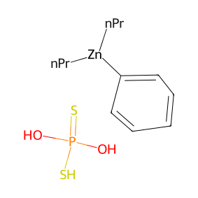 CC[CH2][Zn]([CH2]CC)[c]1ccccc1.OP(O)(=S)S